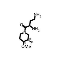 CO[C@H]1CCN(C(=O)C(N)CCN)C[C@H]1F